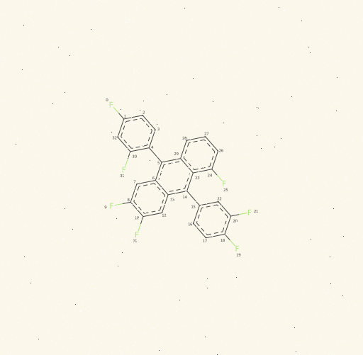 Fc1ccc(-c2c3cc(F)c(F)cc3c(-c3ccc(F)c(F)c3)c3c(F)cccc23)c(F)c1